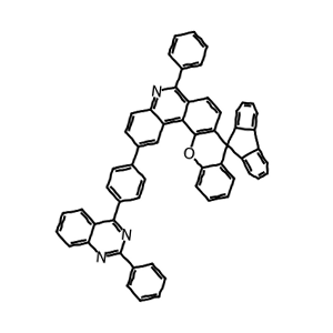 c1ccc(-c2nc(-c3ccc(-c4ccc5nc(-c6ccccc6)c6ccc7c(c6c5c4)Oc4ccccc4C74c5ccccc5-c5ccccc54)cc3)c3ccccc3n2)cc1